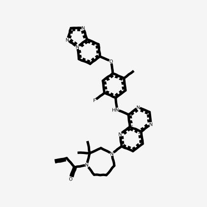 C=CC(=O)N1CCCN(c2ccc3ncnc(Nc4cc(C)c(Oc5ccn6ncnc6c5)cc4F)c3n2)CC1(C)C